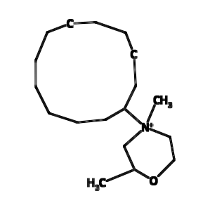 CC1C[N+](C)(C2CCCCCCCCCCC2)CCO1